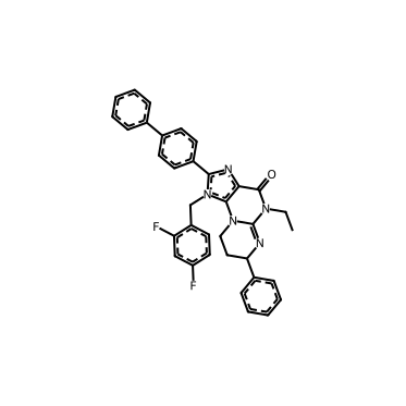 CCN1C(=O)c2nc(-c3ccc(-c4ccccc4)cc3)n(Cc3ccc(F)cc3F)c2N2CCC(c3ccccc3)N=C12